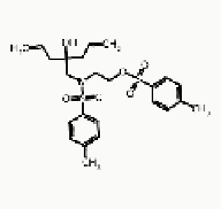 C=CCC(O)(CC=C)CN(CCOS(=O)(=O)c1ccc(C)cc1)S(=O)(=O)c1ccc(C)cc1